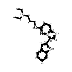 CCN(CC)CCCOc1ccc2ncc(-c3cc4ccccc4s3)n2n1